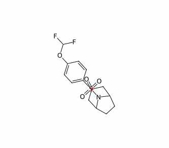 O=C1CC2CCC(C1)N2S(=O)(=O)c1ccc(OC(F)F)cc1